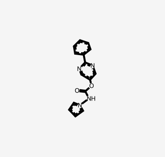 O=C(Nn1cccc1)Oc1cnc(-c2ccccc2)nc1